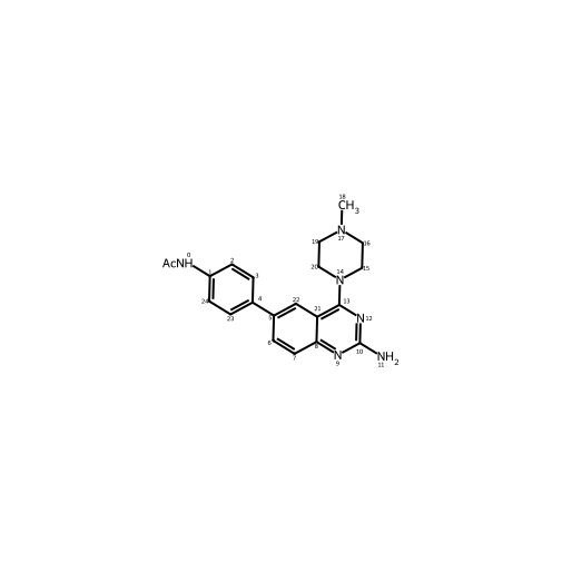 CC(=O)Nc1ccc(-c2ccc3nc(N)nc(N4CCN(C)CC4)c3c2)cc1